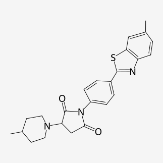 Cc1ccc2nc(-c3ccc(N4C(=O)CC(N5CCC(C)CC5)C4=O)cc3)sc2c1